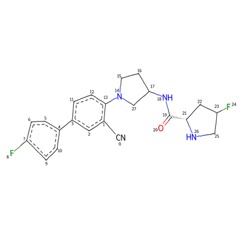 N#Cc1cc(-c2ccc(F)cc2)ccc1N1CCC(NC(=O)[C@@H]2CC(F)CN2)C1